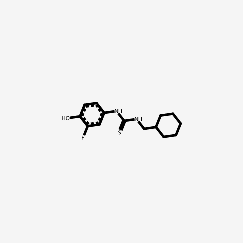 Oc1ccc(NC(=S)NCC2CCCCC2)cc1F